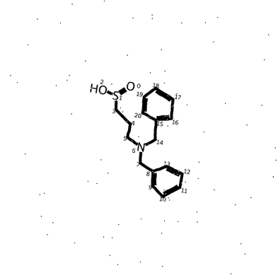 O=S(O)CCCN(Cc1ccccc1)Cc1ccccc1